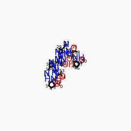 COc1ccccc1NC(=O)C(N=Nc1c(C#N)cnn1-c1nc(O)nc(-n2ncc(C#N)c2N=NC(C(C)=O)C(=O)Nc2ccccc2OC)n1)C(C)=O